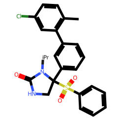 Cc1ccc(Cl)cc1-c1cccc(C2(S(=O)(=O)c3ccccc3)CNC(=O)N2C(C)C)c1